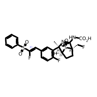 C[C@]1(c2cc(/C=C(\F)S(=O)(=O)c3ccccc3)ccc2F)N=C(NC(=O)O)[C@@]2(CF)CC[C@@H]1S2(=O)=O